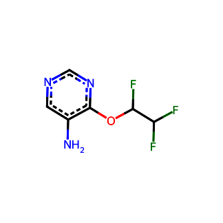 Nc1cncnc1OC(F)C(F)F